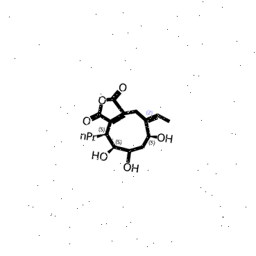 C/C=C1/CC2=C(C(=O)OC2=O)[C@H](CCC)[C@H](O)C(O)C[C@@H]1O